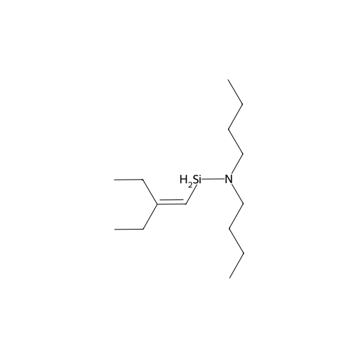 CCCCN(CCCC)[SiH2]C=C(CC)CC